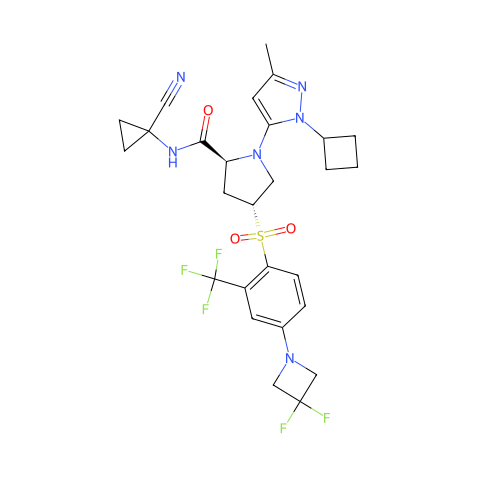 Cc1cc(N2C[C@H](S(=O)(=O)c3ccc(N4CC(F)(F)C4)cc3C(F)(F)F)C[C@H]2C(=O)NC2(C#N)CC2)n(C2CCC2)n1